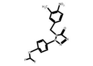 Cc1cc(Cn2c(=O)nnn2-c2ccc(OC(F)F)cc2)ccc1[N+](=O)[O-]